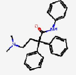 CN(C)CCC(C(=O)Nc1ccccc1)(c1ccccc1)c1ccccc1